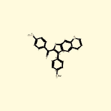 COc1ccc(C(=O)c2oc3cc4c(cc3c2-c2ccc(OC)cc2)CC=CO4)cc1